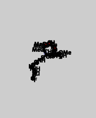 CO[C@H]1C/C(C)=C/[C@@H](CCCSCCNCc2ccc(-c3ccc4ncnc(Nc5ccc(OCc6cccc(F)c6)c(Cl)c5)c4c3)o2)C(O)C[C@H](O)[C@@H](C)[C@@H](/C(C)=C/[C@@H]2CC[C@@H](O)[C@H](OC)C2)OC(=O)[C@@H]2CCCCN2C(=O)C(=O)[C@]2(O)O[C@H]([C@@H](OC)C1)[C@@H](OC)C[C@H]2C